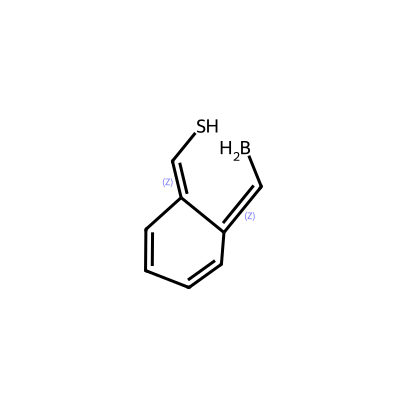 B/C=c1/cccc/c1=C/S